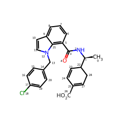 C[C@H](NC(=O)c1cccc2ccn(Cc3ccc(Cl)cc3)c12)C1C=CC(C(=O)O)=CC1